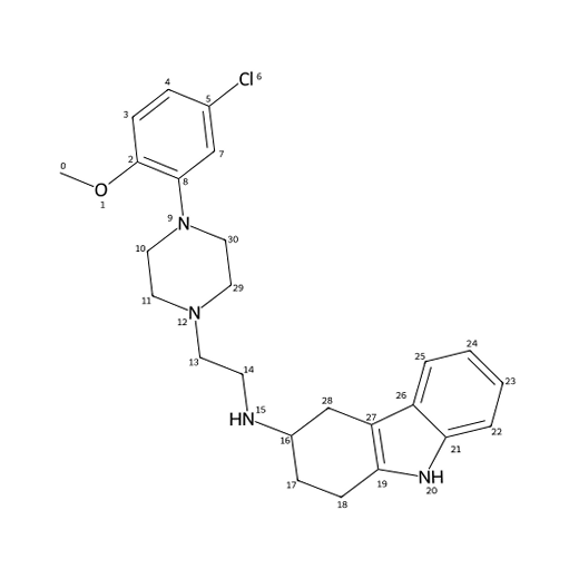 COc1ccc(Cl)cc1N1CCN(CCNC2CCc3[nH]c4ccccc4c3C2)CC1